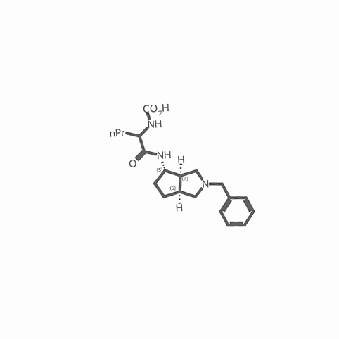 CCCC(NC(=O)O)C(=O)N[C@H]1CC[C@@H]2CN(Cc3ccccc3)C[C@@H]21